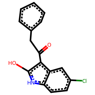 O=C(Cc1ccccc1)c1c(O)[nH]c2ccc(Cl)cc12